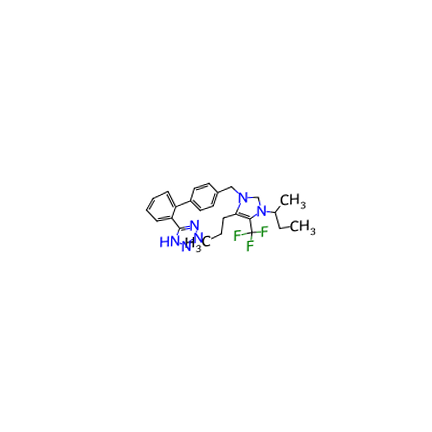 CCCC1=C(C(F)(F)F)N(C(C)CC)CN1Cc1ccc(-c2ccccc2-c2nnn[nH]2)cc1